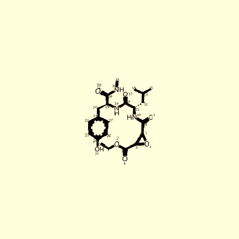 CCOC(=O)C1OC1C(=O)N[C@@H](CC(C)C)C(=O)N[C@@H](Cc1ccc(O)cc1)C(=O)NC